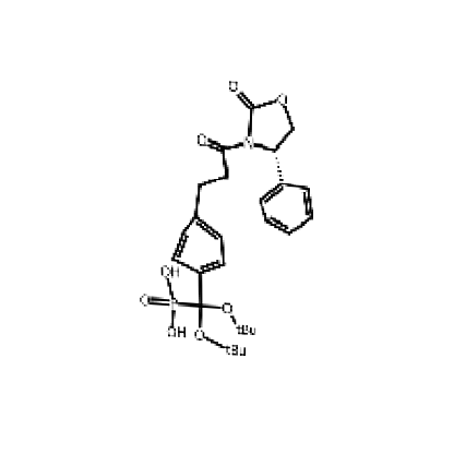 CC(C)(C)OC(OC(C)(C)C)(c1ccc(CCC(=O)N2C(=O)OC[C@@H]2c2ccccc2)cc1)P(=O)(O)O